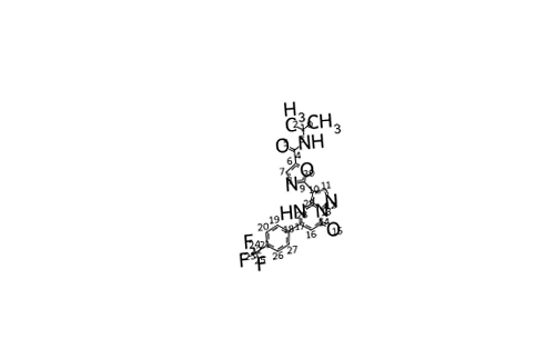 CC(C)NC(=O)c1cnc(-c2cnn3c(=O)cc(-c4ccc(C(F)(F)F)cc4)[nH]c23)o1